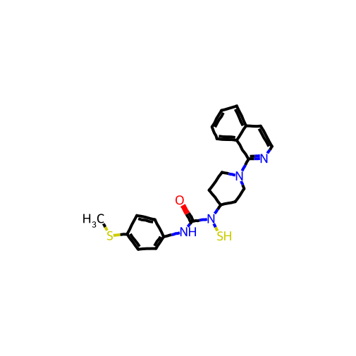 CSc1ccc(NC(=O)N(S)C2CCN(c3nccc4ccccc34)CC2)cc1